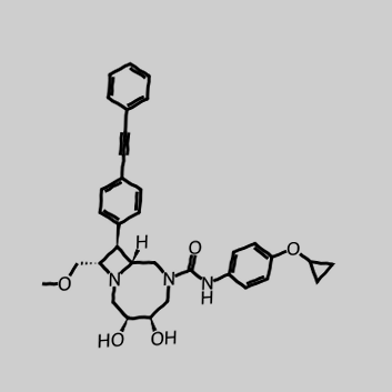 COC[C@@H]1[C@@H](c2ccc(C#Cc3ccccc3)cc2)[C@@H]2CN(C(=O)Nc3ccc(OC4CC4)cc3)C[C@@H](O)[C@@H](O)CN12